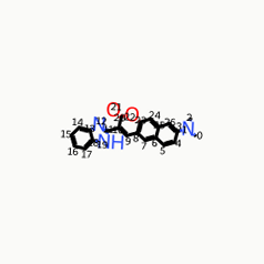 CN(C)c1ccc2cc3cc(-c4nc5ccccc5[nH]4)c(=O)oc3cc2c1